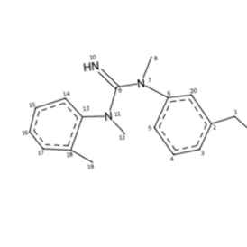 CCc1cccc(N(C)C(=N)N(C)c2ccccc2C)c1